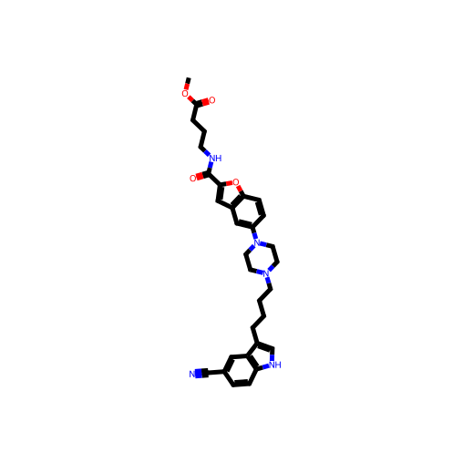 COC(=O)CCCNC(=O)c1cc2cc(N3CCN(CCCCc4c[nH]c5ccc(C#N)cc45)CC3)ccc2o1